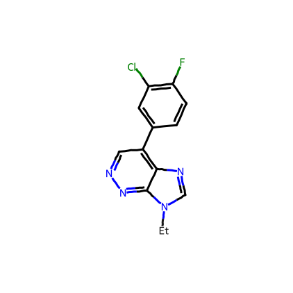 CCn1cnc2c(-c3ccc(F)c(Cl)c3)cnnc21